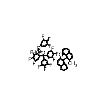 Cc1ccc2ccccc2c1-c1c(C)ccc2ccccc12.OB(Oc1cc(F)c(F)c(F)c1)OC(c1cc(F)c(F)c(F)c1)(c1cc(F)c(F)c(F)c1)c1cc(F)c(F)c(F)c1